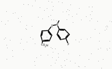 CN(Sc1ccc(C(=O)O)cc1)c1ccc(F)cc1